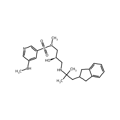 CBc1cncc(S(=O)(=O)N(C)C[C@H](O)CNC(C)(C)CC2Cc3ccccc3C2)c1